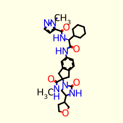 CNC(=O)C1(N2CC(C3CCOC3)NC2=O)Cc2ccc(NC(=O)[C@@H](NC(=O)c3ccnn3C)C3CCCCC3)cc2C1